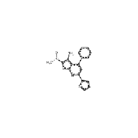 C[S@+]([O-])c1sc2nc(-c3cccs3)cc(-c3ccccc3)c2c1N